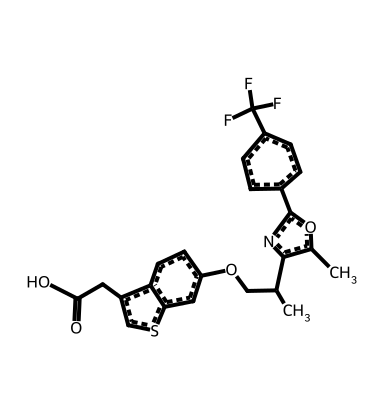 Cc1oc(-c2ccc(C(F)(F)F)cc2)nc1C(C)COc1ccc2c(CC(=O)O)csc2c1